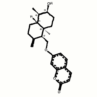 C=C1CC[C@@H]2[C@@H](C)[C@@H](O)CC[C@@]2(C)[C@H]1COc1ccc2ccc(=O)oc2c1